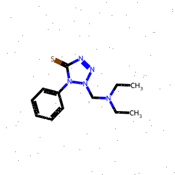 CCN(CC)Cn1nnc(=S)n1-c1ccccc1